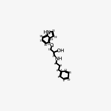 OC(CNCCCc1ccccc1)COc1cccc2[nH]ccc12